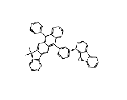 CC1(C)c2ccccc2-c2cc3c(-c4cccc(-c5cccc6c5oc5ccccc56)c4)c4ccccc4c(-c4ccccc4)c3cc21